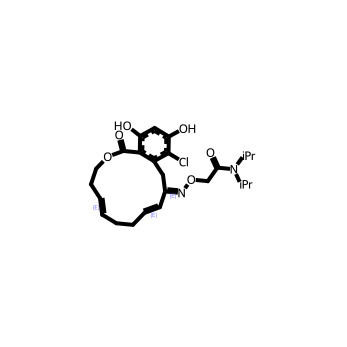 CC(C)N(C(=O)CO/N=C1/C=C/CC/C=C/CCOC(=O)c2c(O)cc(O)c(Cl)c2C1)C(C)C